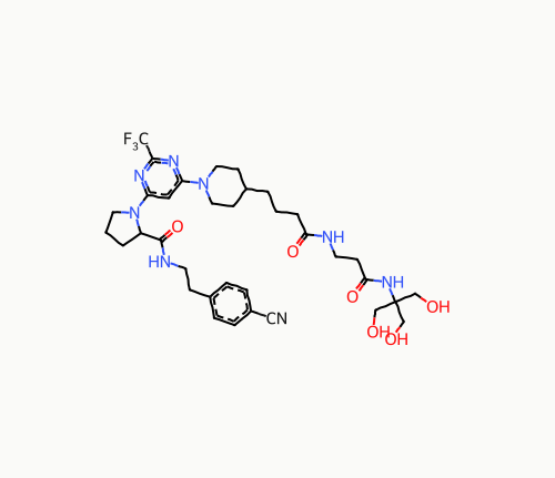 N#Cc1ccc(CCNC(=O)C2CCCN2c2cc(N3CCC(CCCC(=O)NCCC(=O)NC(CO)(CO)CO)CC3)nc(C(F)(F)F)n2)cc1